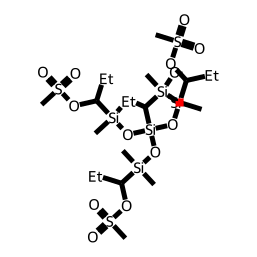 CCC(OS(C)(=O)=O)[Si](C)(C)O[Si](O[Si](C)(C)C(CC)OS(C)(=O)=O)(O[Si](C)(C)C(CC)OS(C)(=O)=O)C(CC)[Si](C)(C)[O]